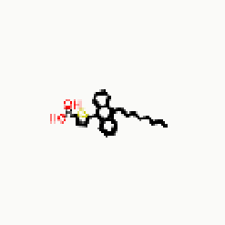 CCCCCCCCc1c2ccccc2c(-c2ccc(B(O)O)s2)c2ccccc12